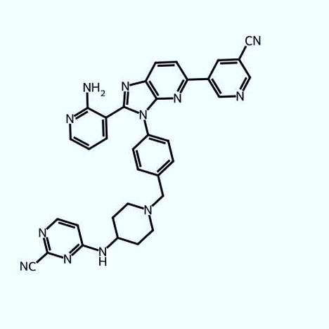 N#Cc1cncc(-c2ccc3nc(-c4cccnc4N)n(-c4ccc(CN5CCC(Nc6ccnc(C#N)n6)CC5)cc4)c3n2)c1